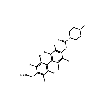 CCCCCOc1c(F)c(F)c(-c2c(F)c(F)c(OC(=O)[C@H]3CC[C@H](CC)CC3)c(F)c2F)c(F)c1F